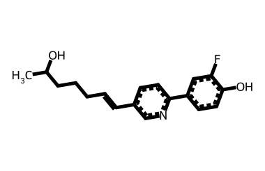 CC(O)CCC/C=C/c1ccc(-c2ccc(O)c(F)c2)nc1